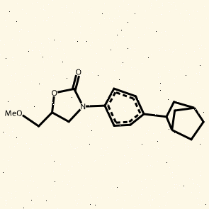 COCC1CN(c2ccc(C3CC4CCC3C4)cc2)C(=O)O1